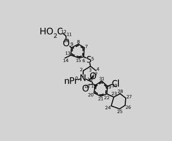 CCCN(CC(C)Sc1ccc(OCC(=O)O)c(C)c1)S(=O)(=O)c1ccc(C2CCCCC2)c(Cl)c1